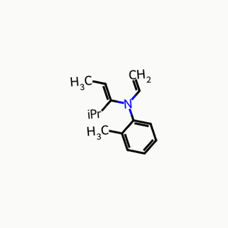 C=CN(/C(=C/C)C(C)C)c1ccccc1C